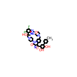 Cc1ccc(-c2cc(-c3onc(C(=O)NC4CCN(CC(O)(Cn5cncn5)c5ccc(F)cc5F)CC4)c3-c3ccc(CN4CCOCC4)cc3)c(O)cc2O)cc1